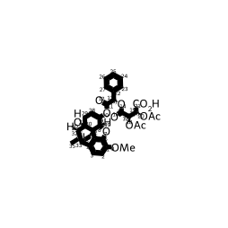 COc1ccc2c3c1O[C@H]1C(OC(=O)[C@@H](OC(=O)[C@H](OC(C)=O)[C@@H](OC(C)=O)C(=O)O)c4ccccc4)=CC[C@@]4(O)[C@@H](C2)N(C)CC[C@]314